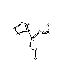 ClC=C=C(CCCl)c1cccs1